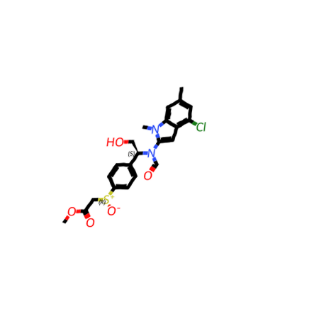 COC(=O)C[S@+]([O-])c1ccc([C@@H](CO)N(C=O)c2cc3c(Cl)cc(C)cc3n2C)cc1